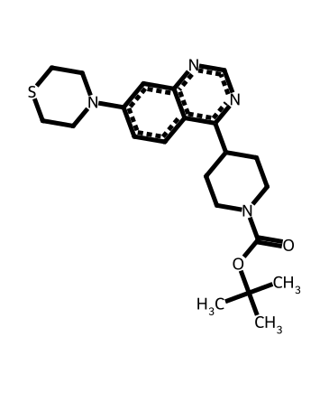 CC(C)(C)OC(=O)N1CCC(c2ncnc3cc(N4CCSCC4)ccc23)CC1